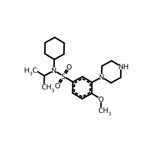 COc1ccc(S(=O)(=O)N(C(C)C)C2CCCCC2)cc1N1CCNCC1